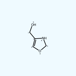 OCC1=COCN1